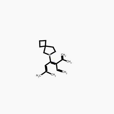 C=C/C(C(=C)C)=C(\C=C(C)C)N1CCC2(CCC2)C1